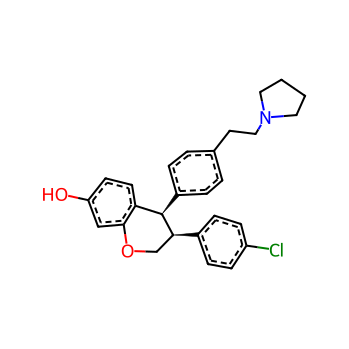 Oc1ccc2c(c1)OC[C@H](c1ccc(Cl)cc1)[C@@H]2c1ccc(CCN2CCCC2)cc1